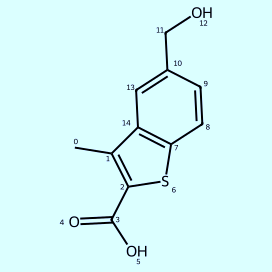 Cc1c(C(=O)O)sc2ccc(CO)cc12